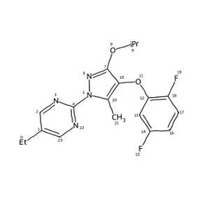 CCc1cnc(-n2nc(OC(C)C)c(Oc3cc(F)ccc3F)c2C)nc1